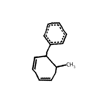 C[C]1C=CC=CC1c1ccccc1